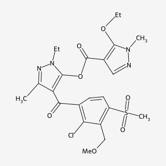 CCOc1c(C(=O)Oc2c(C(=O)c3ccc(S(C)(=O)=O)c(COC)c3Cl)c(C)nn2CC)cnn1C